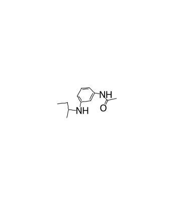 CCC(C)Nc1cccc(NC(C)=O)c1